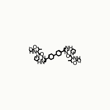 COC(=O)N[C@H](C(=O)N1CCC[C@H]1c1nc(C2=CCC(C3CC=C(c4c[nH]c([C@@H]5CCCN5C(=O)[C@@H](NC(=O)OC)C(C)C)n4)CC3)CC2)c[nH]1)C(C)C